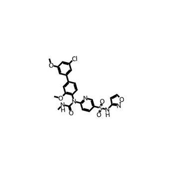 CNC(=O)N(c1ccc(S(=O)(=O)Nc2ccon2)cn1)c1ccc(-c2cc(Cl)cc(OC)c2)cc1OC